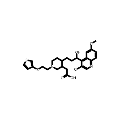 COc1ccc2ncc(Cl)c(C(O)CCC3CCN(CCSc4ccsc4)CC3CC(=O)O)c2c1